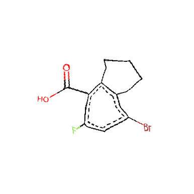 O=C(O)c1c(F)cc(Br)c2c1CCC2